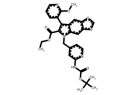 CCOC(=O)c1c(-c2cccnc2OC)c2cc3scnc3cc2n1Cc1ccnc(NC(=O)OC(C)(C)C)c1